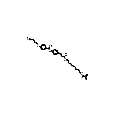 C=C(C)C(=O)OCCCCCCCCOC(=O)/C=C/c1ccc(OC(=O)c2ccc(OCCCC#N)cc2)cc1